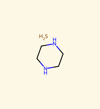 C1CNCCN1.S